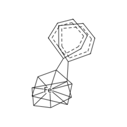 c1ccc([C]23[CH]4[CH]5[CH]6[CH]2[Fe]56432789[CH]3[CH]2[CH]7[C]8(c2ccccc2)[CH]39)cc1